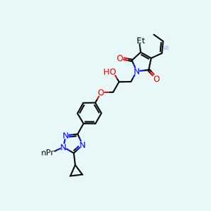 C/C=C\C1=C(CC)C(=O)N(CC(O)COc2ccc(-c3nc(C4CC4)n(CCC)n3)cc2)C1=O